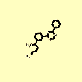 C=C/C=C\C(=C)c1cccc(-c2ncnc(-c3ccccc3)n2)c1